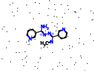 C=N/C(=N\N=C(/N)c1cccnc1)c1cccnc1